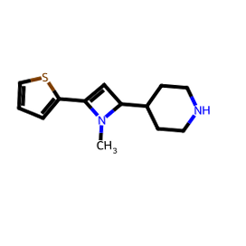 CN1C(c2cccs2)=CC1C1CCNCC1